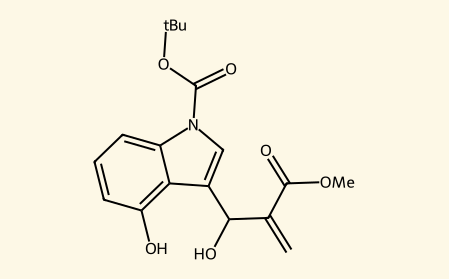 C=C(C(=O)OC)C(O)c1cn(C(=O)OC(C)(C)C)c2cccc(O)c12